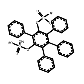 O=P(O)(O)Oc1c(-c2ccccc2)c(OP(=O)(O)O)c(-c2ccccc2)c(-c2ccccc2)c1-c1ccccc1